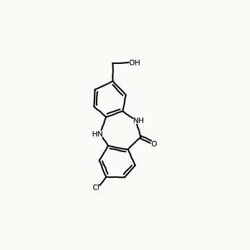 O=C1Nc2cc(CO)ccc2Nc2cc(Cl)ccc21